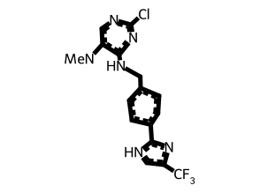 CNc1cnc(Cl)nc1NCc1ccc(-c2nc(C(F)(F)F)c[nH]2)cc1